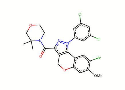 COc1cc2c(cc1Br)-c1c(c(C(=O)N3CCOCC3(C)C)nn1-c1cc(Cl)cc(Cl)c1)CO2